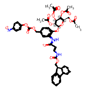 CC(=O)OC[C@H]1O[C@@H](Oc2ccc(COC(=O)Oc3ccc(N=O)cc3)cc2NC(=O)CCNC(=O)OCC2c3ccccc3-c3ccccc32)[C@H](OC(C)=O)[C@@H](OC(C)=O)[C@H]1OC(C)=O